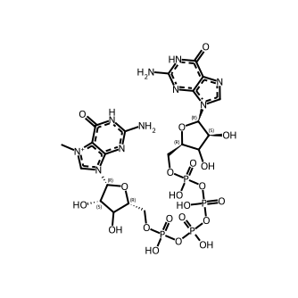 C[n+]1cn([C@@H]2O[C@H](COP(=O)(O)OP(=O)(O)OP(=O)(O)OP(=O)(O)OC[C@H]3O[C@@H](n4cnc5c(=O)[nH]c(N)nc54)[C@@H](O)C3O)C(O)[C@@H]2O)c2nc(N)[nH]c(=O)c21